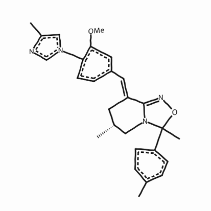 COc1cc(/C=C2\C[C@@H](C)CN3C2=NOC3(C)c2ccc(C)cc2)ccc1-n1cnc(C)c1